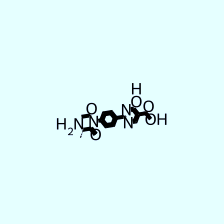 CC(=O)N(C(=O)[C@H](C)N)c1ccc(-c2ncc(C(=O)O)c(O)n2)cc1